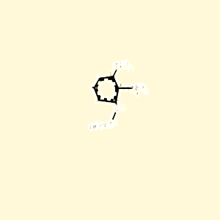 CCCCCOc1cccc([N+](=O)[O-])c1[N+](=O)[O-]